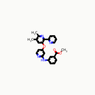 COC(=O)c1cccc(Nc2cc(Oc3cc(C)c(C)nc3-c3ccccn3)ccn2)c1